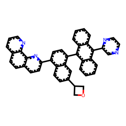 c1cnc2c(c1)ccc1ccc(-c3ccc(-c4c5ccccc5c(-c5cnccn5)c5ccccc45)c4cc(C5COC5)ccc34)nc12